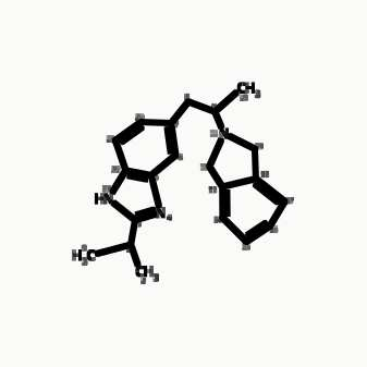 CC(C)c1nc2cc(CC(C)N3Cc4ccccc4C3)ccc2[nH]1